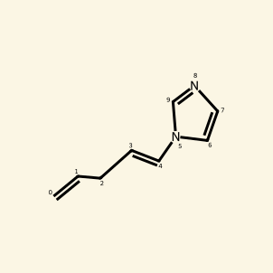 C=CCC=Cn1ccnc1